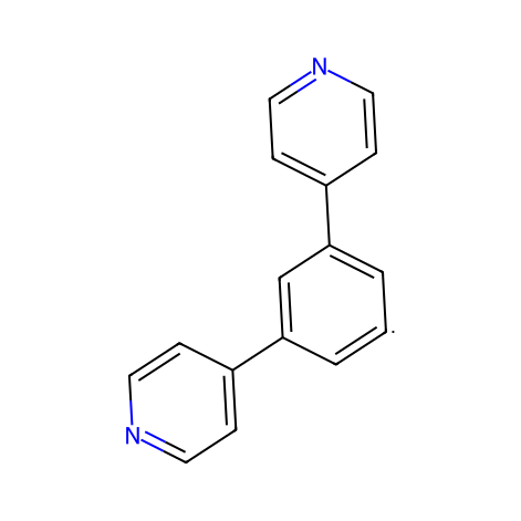 [c]1cc(-c2ccncc2)cc(-c2ccncc2)c1